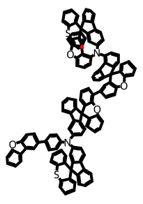 c1ccc2c(c1)Oc1c(-c3ccc4c(c3)C3(c5ccccc5O4)c4ccccc4-c4c(N(c5ccc6c(c5)C5(c7ccccc7Sc7ccccc75)c5ccccc5-6)c5cccc6oc7ccccc7c56)cccc43)cccc1C21c2ccccc2-c2cc(N(c3ccc(-c4ccc5oc6ccccc6c5c4)cc3)c3ccc4c(c3)C3(c5ccccc5Sc5ccccc53)c3ccccc3-4)ccc21